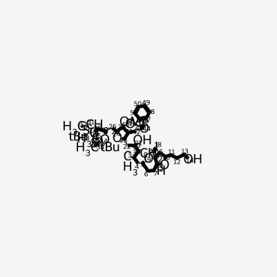 C=C([C@H](C)C[C@H]1CC[C@@H]2OC(CCCO)C[C@]2(CI)O1)[C@H](O)C[C@@H]1OC(C[C@@H](CO[Si](C)(C)C(C)(C)C)O[Si](C)(C)C(C)(C)C)[C@H](OC)C1CS(=O)(=O)c1ccccc1